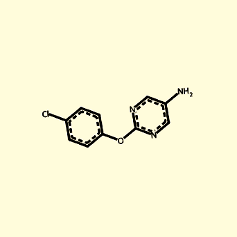 Nc1cnc(Oc2ccc(Cl)cc2)nc1